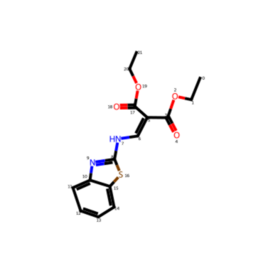 CCOC(=O)C(=CNc1nc2ccccc2s1)C(=O)OCC